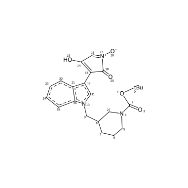 CC(C)(C)OC(=O)N1CCCC(Cn2cc(C3=C(O)C=[N+]([O-])C3=O)c3ccccc32)C1